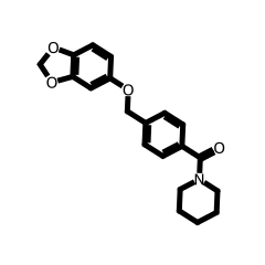 O=C(c1ccc(COc2ccc3c(c2)OCO3)cc1)N1CCCCC1